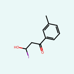 Cc1cccc(C(=O)CC(O)I)c1